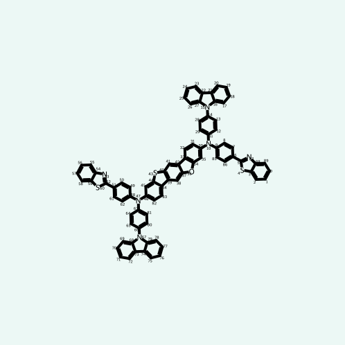 c1ccc2sc(-c3ccc(N(c4ccc(-n5c6ccccc6c6ccccc65)cc4)c4ccc5c(c4)oc4cc6c(cc45)sc4cc(N(c5ccc(-c7nc8ccccc8s7)cc5)c5ccc(-n7c8ccccc8c8ccccc87)cc5)ccc46)cc3)nc2c1